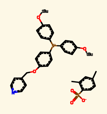 CC(C)(C)Oc1ccc([S+](c2ccc(OCc3ccncc3)cc2)c2ccc(OC(C)(C)C)cc2)cc1.Cc1ccc(S(=O)(=O)[O-])c(C)c1